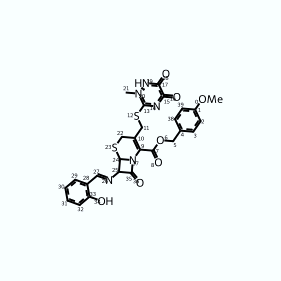 COc1ccc(COC(=O)C2=C(CSc3nc(=O)c(=O)[nH]n3C)CSC3C(N=Cc4ccccc4O)C(=O)N23)cc1